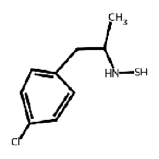 CC(Cc1ccc(Cl)cc1)NS